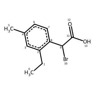 CCc1cc(C)ccc1C(Br)C(=O)O